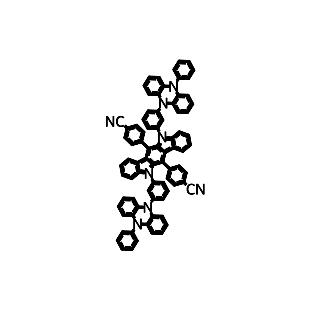 N#Cc1ccc(-c2c3c4ccccc4n(-c4cccc(N5c6ccccc6N(c6ccccc6)c6ccccc65)c4)c3c(-c3ccc(C#N)cc3)c3c4ccccc4n(-c4cccc(N5c6ccccc6N(c6ccccc6)c6ccccc65)c4)c23)cc1